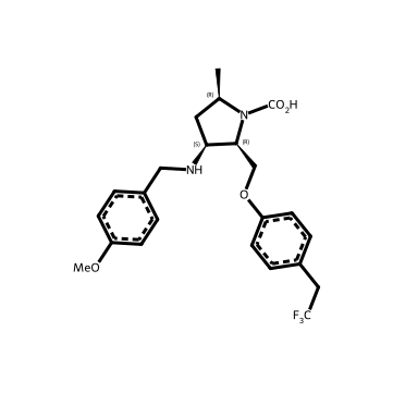 COc1ccc(CN[C@H]2C[C@@H](C)N(C(=O)O)[C@H]2COc2ccc(CC(F)(F)F)cc2)cc1